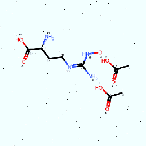 CC(=O)O.CC(=O)O.NC(=NCC[C@H](N)C(=O)O)NO